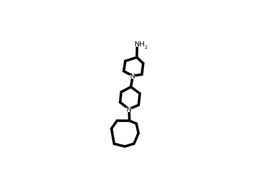 NC1CCN(C2CCN(C3CCCCCCC3)CC2)CC1